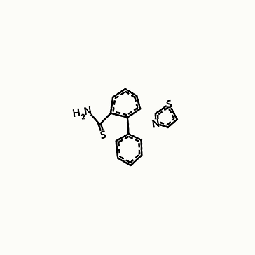 NC(=S)c1ccccc1-c1ccccc1.c1cscn1